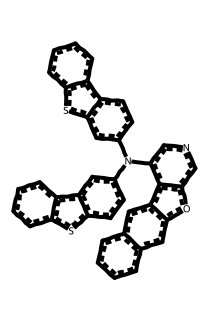 c1ccc2cc3c(cc2c1)oc1cncc(N(c2ccc4c(c2)sc2ccccc24)c2ccc4sc5ccccc5c4c2)c13